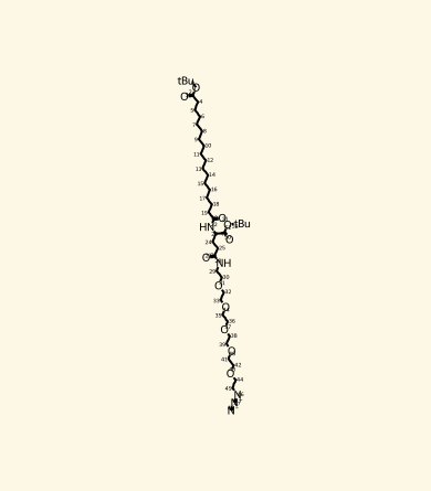 CC(C)(C)OC(=O)CCCCCCCCCCCCCCCCC(=O)NC(CCC(=O)NCCOCCOCCOCCOCCOCCN=[N+]=[N-])C(=O)OC(C)(C)C